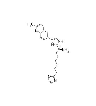 Cc1ccc2cc(-c3c[nH]c([C@@H](N)CCCCCCc4ncco4)n3)ccc2n1